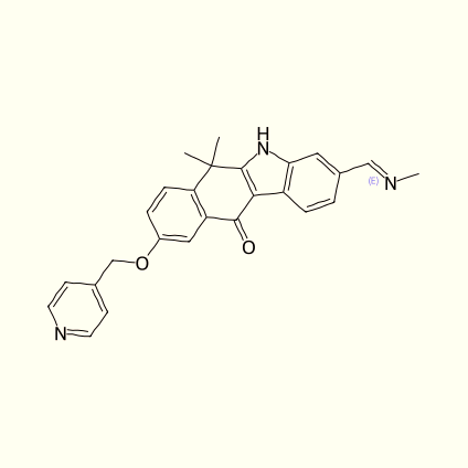 C/N=C/c1ccc2c3c([nH]c2c1)C(C)(C)c1ccc(OCc2ccncc2)cc1C3=O